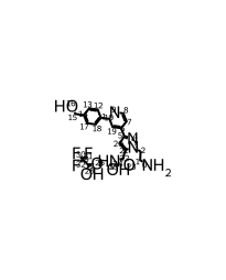 NCCn1nc(-c2ccnc(-c3ccc(CO)cc3)c2)cc1C(=O)NO.O=C(O)C(F)(F)F